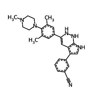 Cc1cc(C2=Cc3c(-c4cccc(C#N)c4)c[nH]c3NN2)cc(C)c1N1CCN(C)CC1